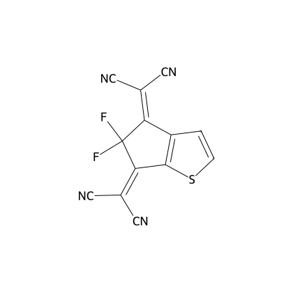 N#CC(C#N)=C1c2ccsc2C(=C(C#N)C#N)C1(F)F